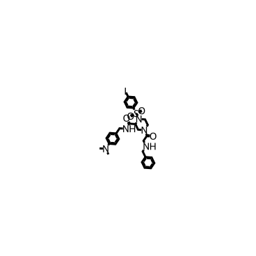 CN(C)c1ccc(CNC(=O)C2CN(C(=O)CNCc3ccccc3)CCN2S(=O)(=O)c2ccc(I)cc2)cc1